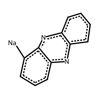 [Na][c]1cccc2nc3ccccc3nc12